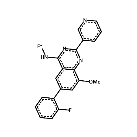 CCNc1nc(-c2cccnc2)nc2c(OC)cc(-c3ccccc3F)cc12